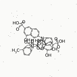 Cc1ccc2c(NC(=O)Nc3c4ccc(C)c3S(=O)(=O)N4c3ccc4cc(S(=O)(=O)O)cc(O)c4c3)c1S(=O)(=O)N2c1ccc2cc(S(=O)(=O)O)cc(O)c2c1